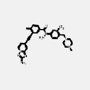 Cc1ccc(C(=O)N(N)c2ccc(CN3CCN(C)CC3)c(C(F)(F)F)c2)cc1C#Cc1ccn2nc(N)nc2c1